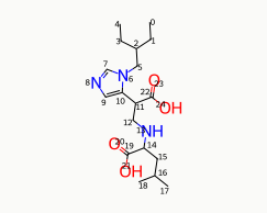 CCC(CC)Cn1cncc1C(CNC(CC(C)C)C(=O)O)C(=O)O